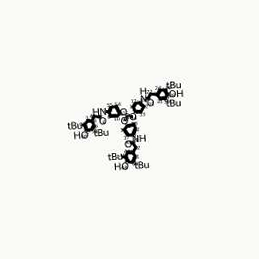 CC(C)(C)c1cc(CC(=O)Nc2ccc(OP(Oc3ccc(NC(=O)Cc4cc(C(C)(C)C)c(O)c(C(C)(C)C)c4)cc3)Oc3ccc(NC(=O)Cc4cc(C(C)(C)C)c(O)c(C(C)(C)C)c4)cc3)cc2)cc(C(C)(C)C)c1O